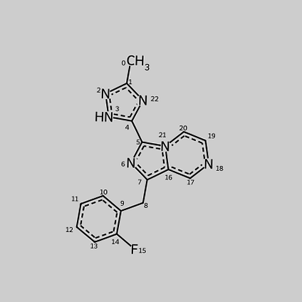 Cc1n[nH]c(-c2nc(Cc3ccccc3F)c3cnccn23)n1